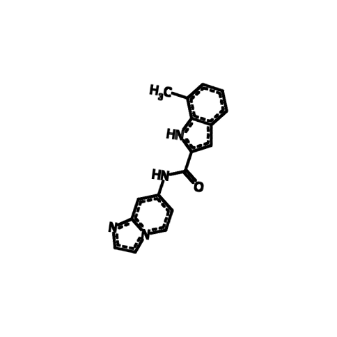 Cc1cccc2cc(C(=O)Nc3ccn4ccnc4c3)[nH]c12